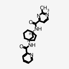 Cc1nccc(C(=O)N[C@]23CCC[C@](NC(=O)c4ccccn4)(CC2)C3)n1